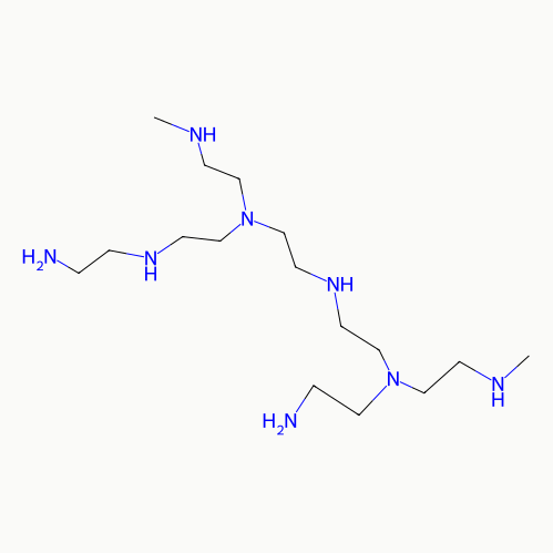 CNCCN(CCN)CCNCCN(CCNC)CCNCCN